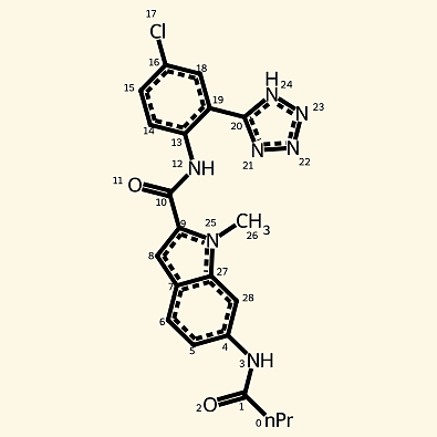 CCCC(=O)Nc1ccc2cc(C(=O)Nc3ccc(Cl)cc3-c3nnn[nH]3)n(C)c2c1